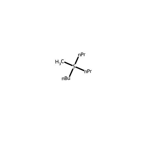 CCCCS(C)(CCC)CCC